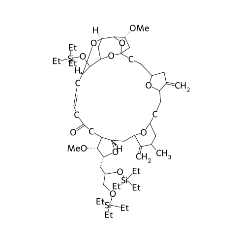 C=C1CC2CCC34C[C@@H](OC)C(O3)[C@H]3CC(O4)C(O[Si](CC)(CC)CC)[C@H](C/C=C/CC(=O)CC4[C@H](CC5OC(CCC1O2)CC(C)C5=C)O[C@H](CC(CO[Si](CC)(CC)CC)O[Si](CC)(CC)CC)[C@@H]4OC)O3